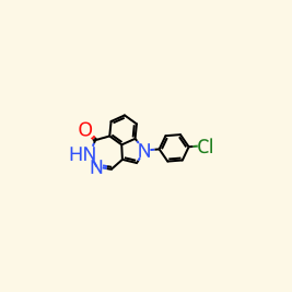 O=C1NN=Cc2cn(-c3ccc(Cl)cc3)c3cccc1c23